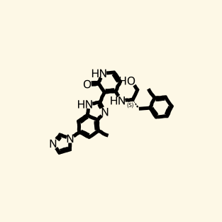 Cc1ccccc1C[C@@H](CO)Nc1cc[nH]c(=O)c1-c1nc2c(C)cc(-n3ccnc3)cc2[nH]1